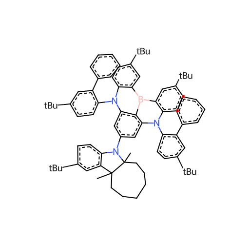 CC(C)(C)c1ccc2c(c1)B1c3cc(C(C)(C)C)ccc3N(c3ccc(C(C)(C)C)cc3-c3ccccc3)c3cc(N4c5ccc(C(C)(C)C)cc5C5(C)CCCCCCC45C)cc(c31)N2c1ccc(C(C)(C)C)cc1-c1ccccc1